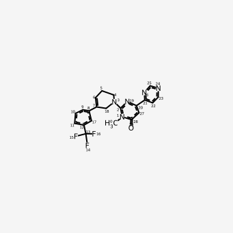 Cn1c(N2CCC=C(c3cccc(C(F)(F)F)c3)C2)nc(-c2ccncn2)cc1=O